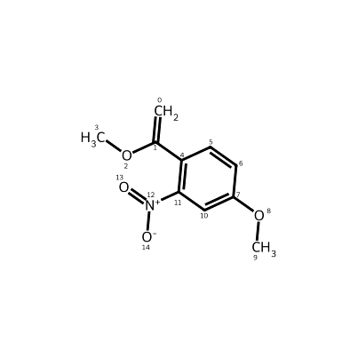 C=C(OC)c1ccc(OC)cc1[N+](=O)[O-]